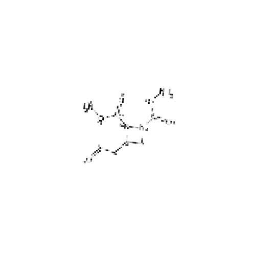 NOC(=O)N1CC(CC=O)N1C(=O)ON